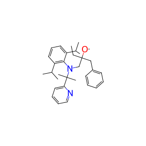 CCC([O])(Cc1ccccc1)CN(c1c(C(C)C)cccc1C(C)C)C(C)(C)c1ccccn1